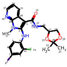 Cn1c(Nc2ccc(I)cc2F)c(C(=O)NCC2COC(C)(C)O2)c2cccnc21